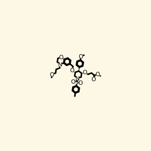 COCCCN1CCOc2ccc(CO[C@H]3CN(S(=O)(=O)c4ccc(C)cc4)C[C@@H](OCCC(=O)OC)[C@@H]3c3ccc(OC)cc3)cc21